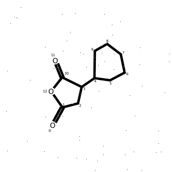 O=C1CC(C2CCCCC2)C(=O)O1